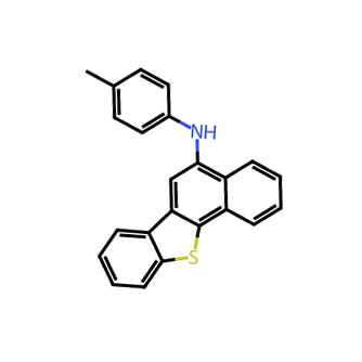 Cc1ccc(Nc2cc3c4ccccc4sc3c3ccccc23)cc1